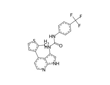 Cc1sccc1-c1ccnc2[nH]cc(NC(=O)Nc3ccc(C(F)(F)F)cc3)c12